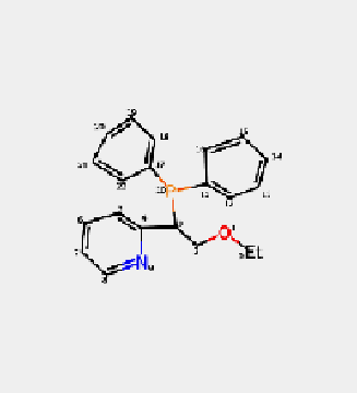 CCOCC(c1ccccn1)P(c1ccccc1)c1ccccc1